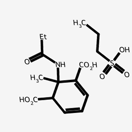 CCC(=O)NC1(C)C(C(=O)O)=CC=CC1C(=O)O.CCCS(=O)(=O)O